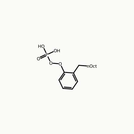 CCCCCCCCCc1ccccc1OOP(=O)(O)O